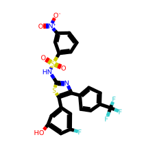 O=[N+]([O-])c1cccc(S(=O)(=O)Nc2nc(-c3ccc(C(F)(F)F)cc3)c(-c3cc(O)cc(F)c3)s2)c1